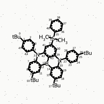 CC(C)(C)c1ccc(N2c3ccc(C(C)(C)C)cc3B3c4cc(C(C)(C)C)ccc4N(c4ccc(C(C)(C)C)cc4)c4cc(S(C)(C)c5ccccc5)cc2c43)cc1